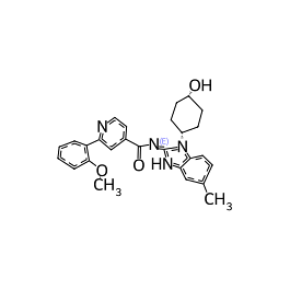 COc1ccccc1-c1cc(C(=O)/N=c2\[nH]c3cc(C)ccc3n2[C@H]2CC[C@@H](O)CC2)ccn1